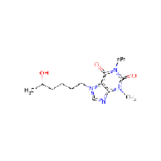 CCCn1c(=O)c2c(ncn2CCCCC(C)O)n(C)c1=O